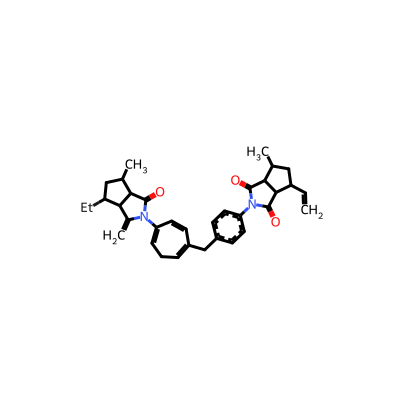 C=CC1CC(C)C2C(=O)N(c3ccc(CC4=CCC=C(N5C(=C)C6C(CC)CC(C)C6C5=O)C=C4)cc3)C(=O)C12